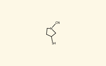 N#CN1CCC(S)C1